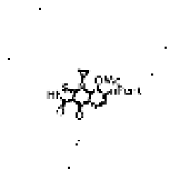 CCCCCc1ccc2c(=O)c3c(=O)[nH]sc3n(C3CC3)c2c1OC